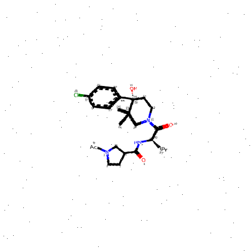 CC(=O)N1CCC(C(=O)N[C@@H](C(=O)N2CC[C@](O)(c3ccc(Cl)cc3)C(C)(C)C2)C(C)C)C1